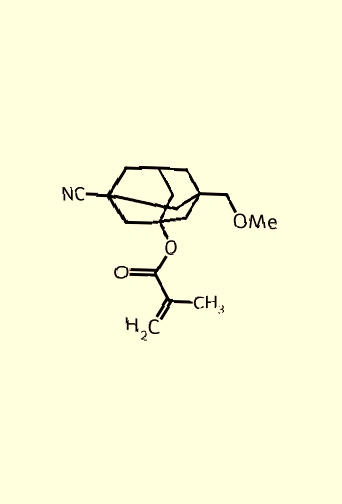 C=C(C)C(=O)OC12CC3CC(C#N)(CC(COC)(C3)C1)C2